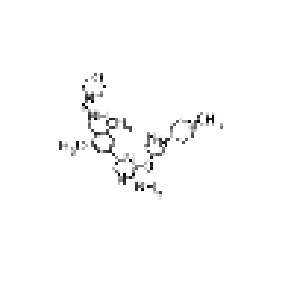 Cc1cc(-c2cnc(N)c(Oc3cnn(C4CCN(C)CC4)c3)n2)cc(C)c1CNSN1CCOCC1